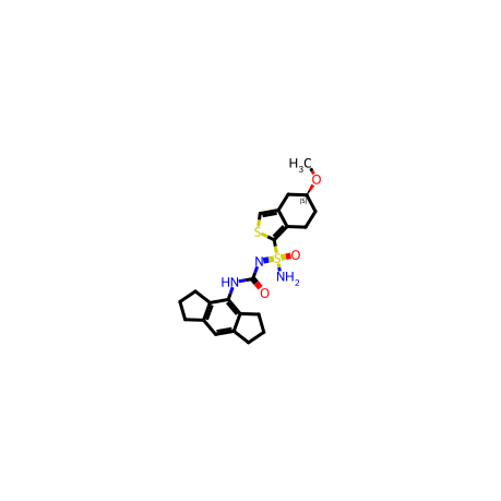 CO[C@H]1CCc2c(csc2S(N)(=O)=NC(=O)Nc2c3c(cc4c2CCC4)CCC3)C1